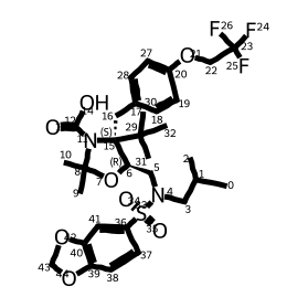 CC(C)CN(C[C@H]1OC(C)(C)N(C(=O)O)[C@@]1(Cc1ccc(OCC(F)(F)F)cc1)C(C)(C)C)S(=O)(=O)c1ccc2c(c1)OCO2